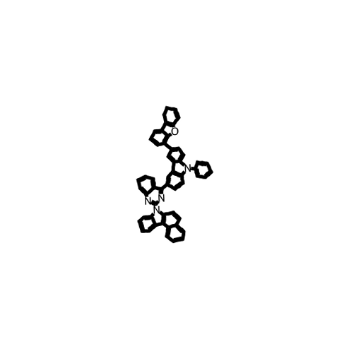 C1=Cc2oc3c(-c4ccc5c(c4)c4cc(-c6nc(-n7c8ccccc8c8c9ccccc9ccc87)nc7ccccc67)ccc4n5-c4ccccc4)cccc3c2CC1